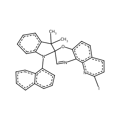 CC1(C)c2ccccc2N(c2cccc3ccccc23)C12C=Nc1c(ccc3ccc(I)nc13)O2